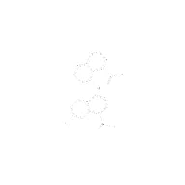 Nc1ccc2cccc(C(=O)O)c2c1.Nc1cccc2cccc(C(=O)O)c12